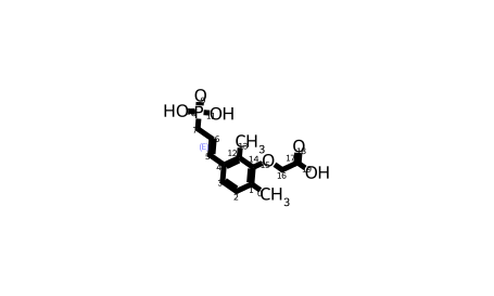 Cc1ccc(/C=C/CP(=O)(O)O)c(C)c1OCC(=O)O